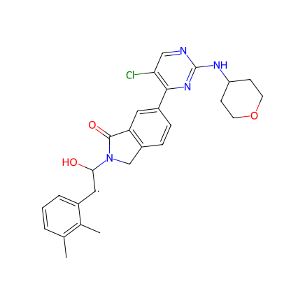 Cc1cccc([CH]C(O)N2Cc3ccc(-c4nc(NC5CCOCC5)ncc4Cl)cc3C2=O)c1C